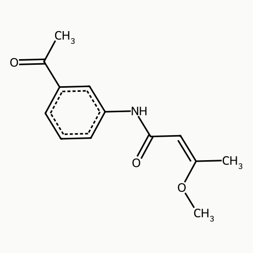 CO/C(C)=C\C(=O)Nc1cccc(C(C)=O)c1